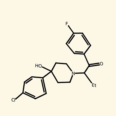 CCC(C(=O)c1ccc(F)cc1)N1CCC(O)(c2ccc(Cl)cc2)CC1